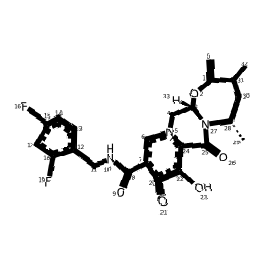 C=C1O[C@H]2Cn3cc(C(=O)NCc4ccc(F)cc4F)c(=O)c(O)c3C(=O)N2[C@@H](C)CC1C